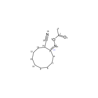 CC(=O)O/N=C1/CCCCCCCCC1C#N